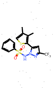 Cc1csc(-c2cc(C(F)(F)F)nn2NS(=O)(=O)c2ccccc2)c1C